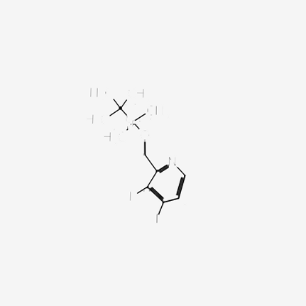 CC(C)(C)[Si](C)(C)OCc1nccc(I)c1F